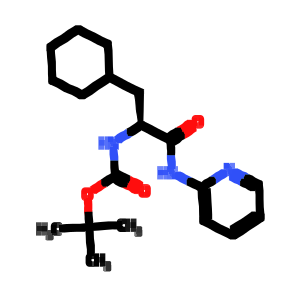 CC(C)(C)OC(=O)N[C@@H](CC1CCCCC1)C(=O)Nc1ccccn1